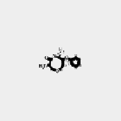 C[C@@H]1OC(=O)C(N)COCCC1Oc1ccccc1